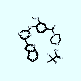 COc1cc(C(=O)N2CCOCC2)ccc1Nc1cncc(-c2cc3ccccc3[nH]2)n1.O=C(O)C(F)(F)F